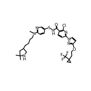 CN(CCCCC1CNC(C)(C)C1)c1ccc(SNC(=O)c2ccc(-n3ccc(OCCC4(C(F)(F)F)CC4)n3)nc2Cl)cn1